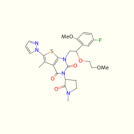 COCCOC(Cn1c(=O)n(C2CCN(C)C2=O)c(=O)c2c(C)c(-n3cccn3)sc21)c1cc(F)ccc1OC